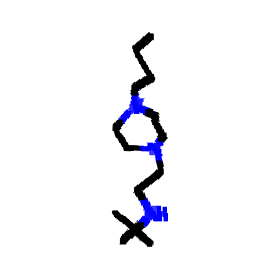 CCCCN1CCN(CCNC(C)(C)C)CC1